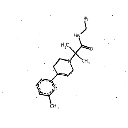 Cc1cccc(C2=CCN(C(C)(C)C(=O)NCC(C)C)CC2)n1